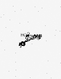 CS(=O)(=O)NC1CCN(CCCOCCc2ccc3sccc3c2)C1.O=C(O)C(=O)O